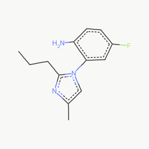 CCCc1nc(C)cn1-c1cc(F)ccc1N